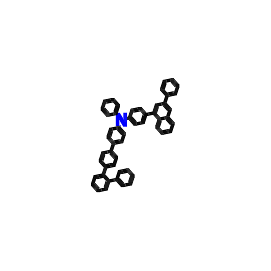 c1ccc(-c2cc(-c3ccc(N(c4ccccc4)c4ccc(-c5ccc(-c6ccccc6-c6ccccc6)cc5)cc4)cc3)c3ccccc3c2)cc1